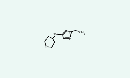 CCn1cc(NC2CCOCC2)cn1